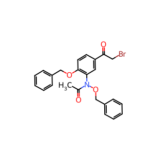 CC(=O)N(OCc1ccccc1)c1cc(C(=O)CBr)ccc1OCc1ccccc1